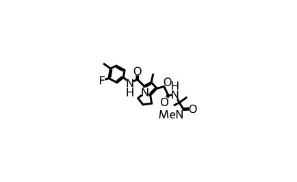 CNC(=O)C(C)(C)NC(=O)C(=O)c1c(C)c(C(=O)Nc2ccc(C)c(F)c2)n2c1CCC2